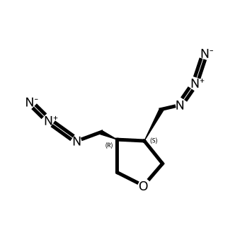 [N-]=[N+]=NC[C@@H]1COC[C@@H]1CN=[N+]=[N-]